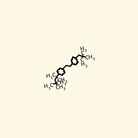 CC(C)(C)Cc1ccc([CH]Cc2ccc(C(C)(C)CC(C)(C)C)cc2)cc1